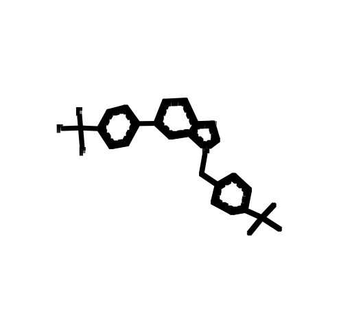 CC(C)(C)c1ccc(Cn2c[c]c3ccc(-c4ccc(C(F)(F)F)cc4)cc32)cc1